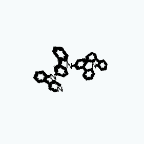 c1cc(-c2ccccc2-n2c3ccccc3c3ccccc32)cc(-n2c3ccccc3c3cc(-n4c5ccccc5c5ccncc54)ccc32)c1